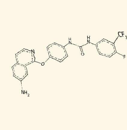 Nc1ccc2ccnc(Oc3ccc(NC(=O)Nc4ccc(F)c(C(F)(F)F)c4)cc3)c2c1